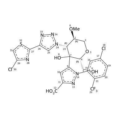 CO[C@H]1CO[C@H](CO)C(O)(c2cc(C(=O)O)nn2-c2cc(Cl)ccc2C(F)(F)F)[C@@H]1n1cc(-c2nc(Cl)cs2)nn1